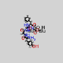 CCCCC(NC(=O)[C@H](Cc1ccccc1)NC(=O)CNC(=O)[C@@H](C)NC(=O)[C@@H](N)Cc1ccc(O)cc1)(C(=O)OC(C)(C)C)S(=O)(=O)O